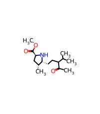 COC(=O)[C@@H]1C[C@@H](C)[C@@H](CCC(C(C)=O)C(C)C)N1